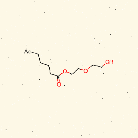 CC(=O)CCCCC(=O)OCCOCCO